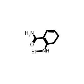 CCNC1=C(C(N)=O)C=CCC1